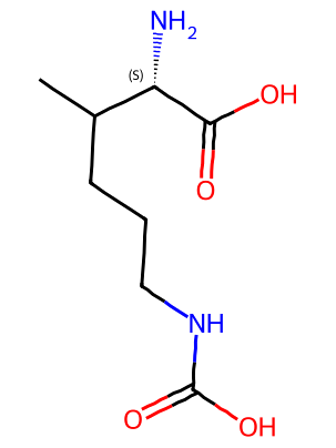 CC(CCCNC(=O)O)[C@H](N)C(=O)O